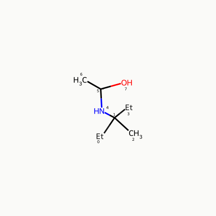 CCC(C)(CC)N[C](C)O